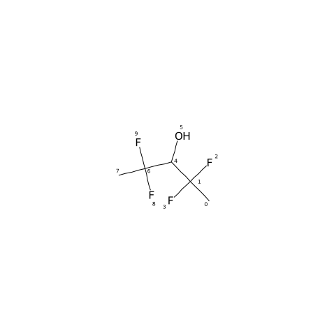 CC(F)(F)C(O)C(C)(F)F